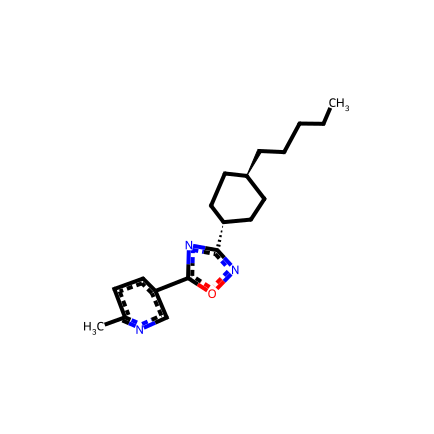 CCCCC[C@H]1CC[C@H](c2noc(-c3ccc(C)nc3)n2)CC1